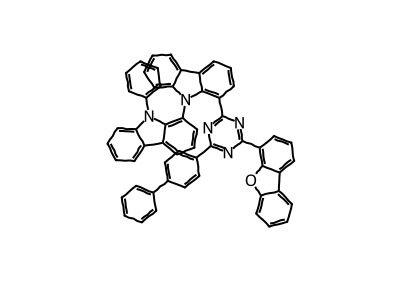 c1ccc(-c2ccc(-c3nc(-c4cccc5c4oc4ccccc45)nc(-c4cccc5c6ccccc6n(-c6cccc7c8ccccc8n(-c8ccccc8)c67)c45)n3)cc2)cc1